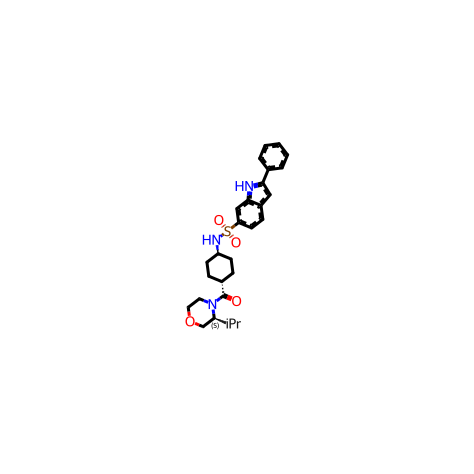 CC(C)[C@H]1COCCN1C(=O)[C@H]1CC[C@H](NS(=O)(=O)c2ccc3cc(-c4ccccc4)[nH]c3c2)CC1